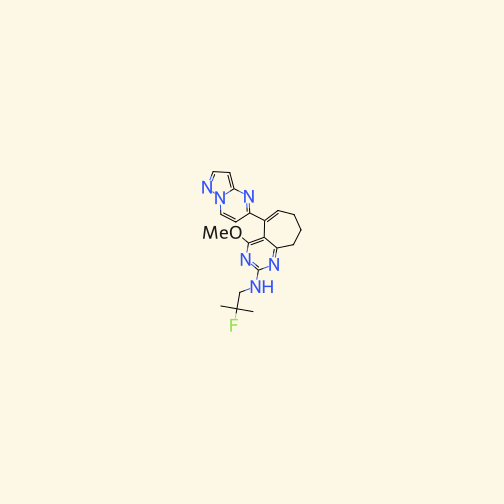 COc1nc(NCC(C)(C)F)nc2c1C(c1ccn3nccc3n1)=CCCC2